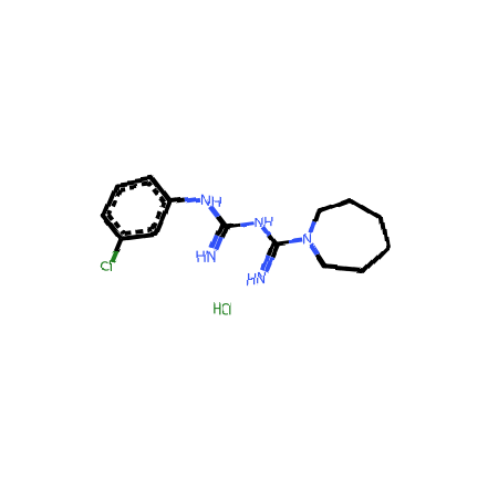 Cl.N=C(NC(=N)N1CCCCCC1)Nc1cccc(Cl)c1